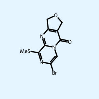 CSc1nc(Br)cn2c(=O)c3c(nc12)COC3